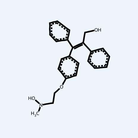 CN(O)CCOc1ccc(/C(=C(/CO)c2ccccc2)c2ccccc2)cc1